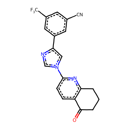 N#Cc1cc(-c2cn(-c3ccc4c(n3)CCCC4=O)cn2)cc(C(F)(F)F)c1